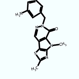 Cc1nc2c(s1)c1cnn(Cc3cccc(N)c3)c(=O)c1n2C